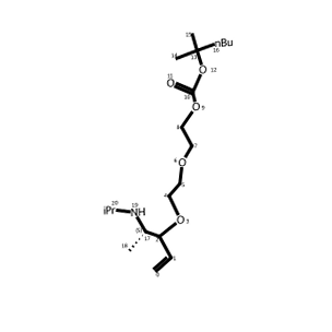 C=CC(OCCOCCOC(=O)OC(C)(C)CCCC)[C@H](C)NC(C)C